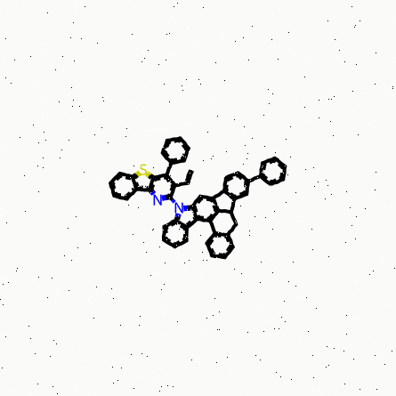 C=Cc1c(-n2c3ccccc3c3c4c5c(cc32)-c2ccc(-c3ccccc3)cc2C5Cc2ccccc2-4)nc2c(sc3ccccc32)c1-c1ccccc1